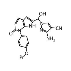 CC(C)Oc1ccc(-n2c(=O)ccc3cc(C(O)n4cc(C#N)c(N)n4)[nH]c32)cc1